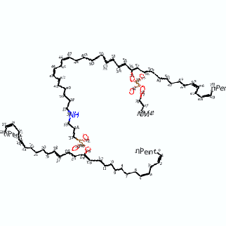 CCCCC/C=C\C/C=C\CCCCCCCCC(CCCCCCCC/C=C\C/C=C\CCCCC)OS(=O)(=O)CCCNCCCCCC/C=C\C/C=C\CCCCCCCCC(CCCCCCCC/C=C\C/C=C\CCCCC)OS(=O)(=O)OCCNC